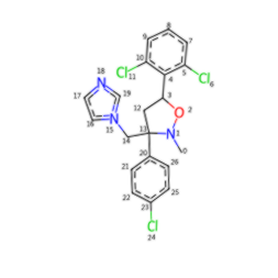 CN1OC(c2c(Cl)cccc2Cl)CC1(Cn1ccnc1)c1ccc(Cl)cc1